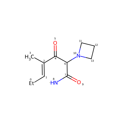 CCC=C(C)C(=O)C(C([NH])=O)N1CCC1